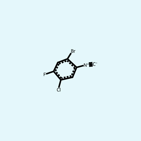 [C-]#[N+]c1cc(Cl)c(F)cc1Br